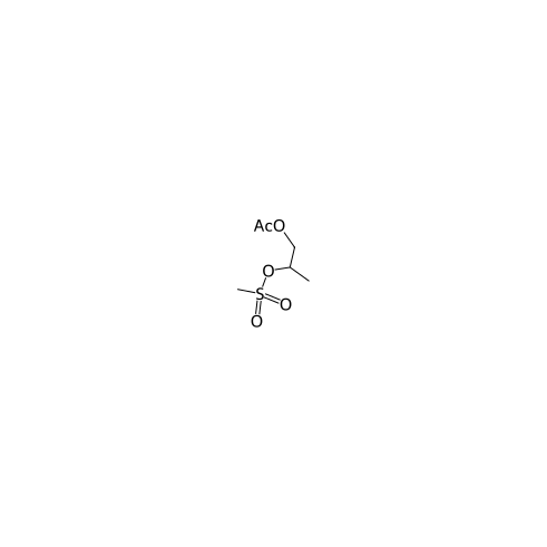 CC(=O)OCC(C)OS(C)(=O)=O